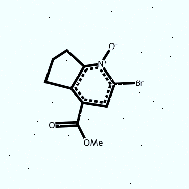 COC(=O)c1cc(Br)[n+]([O-])c2c1CCC2